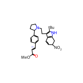 COC(=O)/C=C/c1ccc(C2CCCN2CCc2c(C(C)(C)C)[nH]c3c2C=CC([N+](=O)[O-])C3)cc1